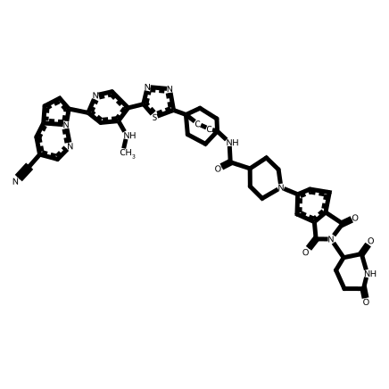 CNc1cc(-c2ccc3cc(C#N)cnn23)ncc1-c1nnc(C23CCC(NC(=O)C4CCN(c5ccc6c(c5)C(=O)N(C5CCC(=O)NC5=O)C6=O)CC4)(CC2)CC3)s1